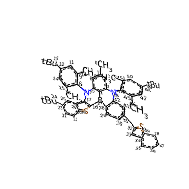 Cc1cc2c3c(c1)N(c1c(C)cc(C(C)(C)C)cc1C)c1c(sc4ccc(C(C)(C)C)cc14)B3c1ccc(-c3cc4ccccc4s3)cc1N2c1c(C)cc(C(C)(C)C)cc1C